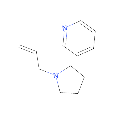 C=CCN1CCCC1.c1ccncc1